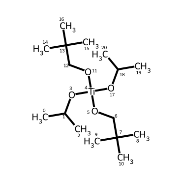 CC(C)[O][Ti]([O]CC(C)(C)C)([O]CC(C)(C)C)[O]C(C)C